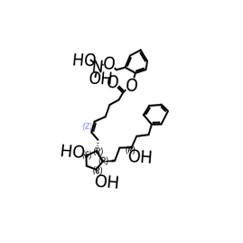 O=C(CCC/C=C\C[C@@H]1[C@@H](CC[C@@H](O)CCc2ccccc2)[C@H](O)C[C@@H]1O)Oc1ccccc1CON(O)O